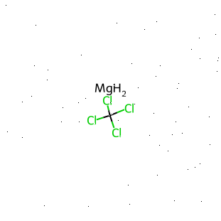 ClC(Cl)(Cl)Cl.[MgH2]